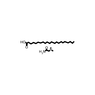 CCCCCCCCCCCCCCCCCCCCCC(=O)O.CN(C)CC(N)=O